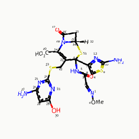 CON=CC(=O)NC1(c2csc(N)n2)S[C@H]2CC(=O)N2C(C(=O)O)=C1CSc1nc(N)cc(O)n1